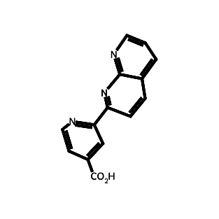 O=C(O)c1ccnc(-c2ccc3cccnc3n2)c1